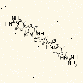 N=C(N)NCc1ccc(NC(=O)C23CC(C(=O)Nc4ccc(C5=CCN(C(=N)N)CC5)c(F)c4)(C2)C3)cc1